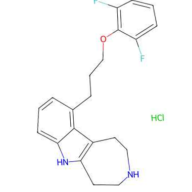 Cl.Fc1cccc(F)c1OCCCc1cccc2[nH]c3c(c12)CCNCC3